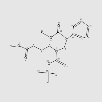 COC(=O)CCCN(CC(C(=O)OC)c1ccccc1)C(=O)OC(C)(C)C